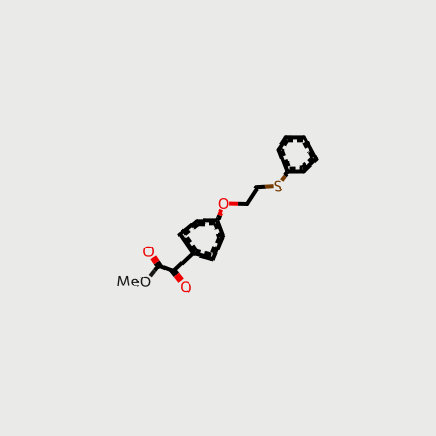 COC(=O)C(=O)c1ccc(OCCSc2ccccc2)cc1